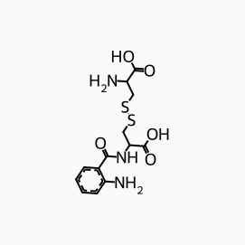 Nc1ccccc1C(=O)NC(CSSCC(N)C(=O)O)C(=O)O